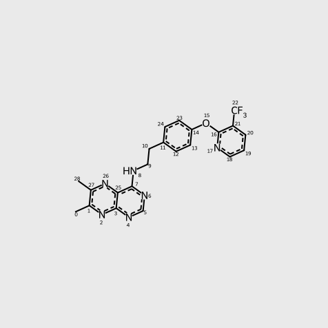 Cc1nc2ncnc(NCCc3ccc(Oc4ncccc4C(F)(F)F)cc3)c2nc1C